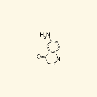 Nc1ccc2c(c1)C(=O)CC=N2